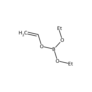 C=COB(OCC)OCC